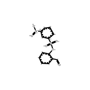 O=Cc1ccccc1OS(=O)(=O)c1cccc([N+](=O)[O-])c1